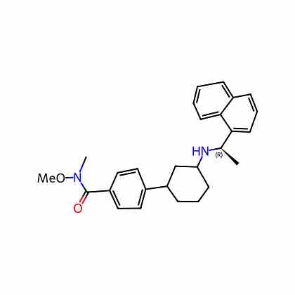 CON(C)C(=O)c1ccc(C2CCCC(N[C@H](C)c3cccc4ccccc34)C2)cc1